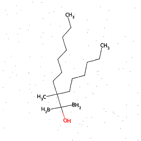 BC(B)(O)C(C)(CCCCCC)CCCCCCC